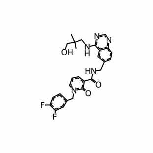 CC(C)(CO)CNc1ncnc2ccc(CNC(=O)c3cccn(Cc4ccc(F)c(F)c4)c3=O)cc12